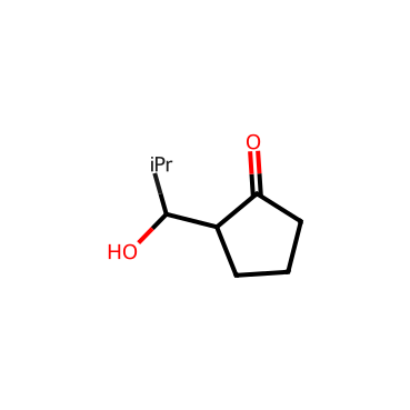 CC(C)C(O)C1CCCC1=O